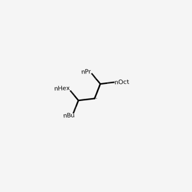 CCCCCCCCC([CH]C(CCCC)CCCCCC)CCC